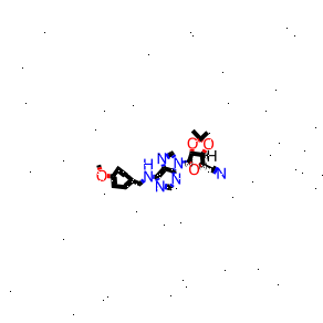 COc1ccc(CNc2ncnc3c2ncn3[C@@H]2O[C@H](C#N)[C@@H]3OC(C)(C)OC32)cc1